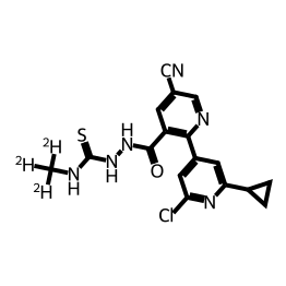 [2H]C([2H])([2H])NC(=S)NNC(=O)c1cc(C#N)cnc1-c1cc(Cl)nc(C2CC2)c1